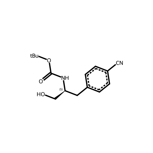 CC(C)(C)OC(=O)N[C@H](CO)Cc1ccc(C#N)cc1